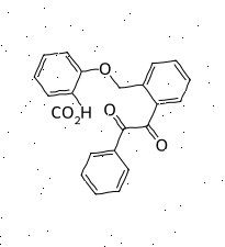 O=C(C(=O)c1ccccc1COc1ccccc1C(=O)O)c1ccccc1